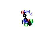 NC(=O)c1ccc(-c2cnc3c(c2)OC(c2c(Cl)ccc(F)c2Cl)N3)cc1